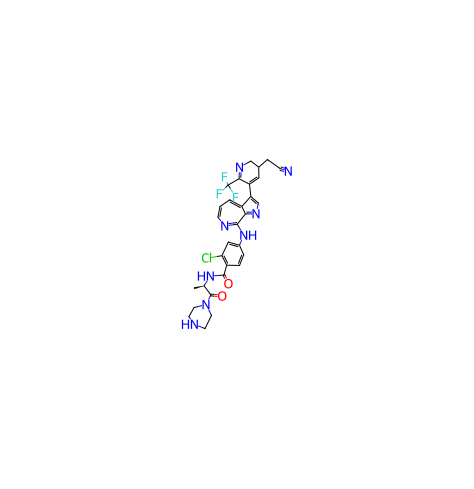 C[C@@H](NC(=O)c1ccc(Nc2ncccc3c(C4=CC(CC#N)CN=C4C(F)(F)F)cnc2-3)cc1Cl)C(=O)N1CCNCC1